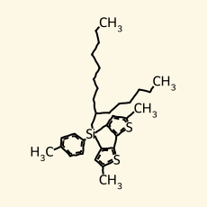 CCCCCCCCC(CCCCCC)C[Si]1(c2ccc(C)cc2)c2cc(C)sc2-c2sc(C)cc21